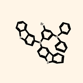 Brc1cc(N(c2ccccc2)c2ccccc2)cc(N(c2ccc3sc4ccccc4c3c2)c2ccc3sc4ccccc4c3c2)c1